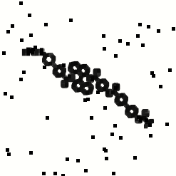 C=C(C)C(=O)Oc1ccc(-c2ccc(C(=O)Oc3ccc(C(=O)Oc4ccc5ccccc5c4-c4c(OC(=O)c5ccc(C6CCC(CCCCC)CC6)cc5)ccc5ccccc45)cc3)cc2)cc1